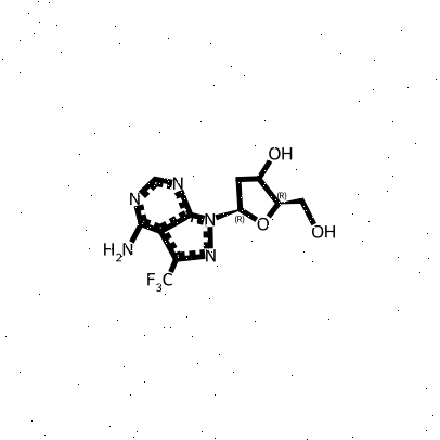 Nc1ncnc2c1c(C(F)(F)F)nn2[C@H]1CC(O)[C@@H](CO)O1